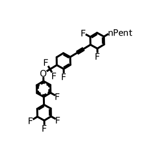 CCCCCC1=CC(F)C(C#CC2=CCC(C(F)(F)Oc3ccc(C4=CC(F)C(F)C(F)=C4)c(F)c3)C(F)=C2)C(F)=C1